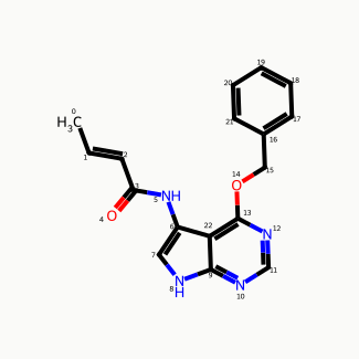 C/C=C/C(=O)Nc1c[nH]c2ncnc(OCc3ccccc3)c12